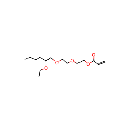 C=CC(=O)OCCOCCOCC(CCCC)OCC